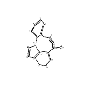 ClC1=Nc2ccccc2-n2ccc3c2C1=CCC3